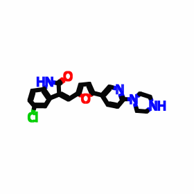 O=C1Nc2ccc(Cl)cc2C1=Cc1ccc(-c2ccc(N3CCNCC3)nc2)o1